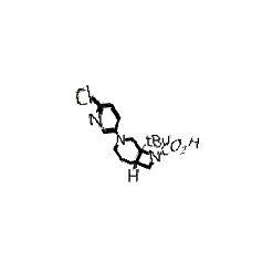 CC(C)(C)[C@@]12CN(c3ccc(Cl)nc3)CC[C@H]1CN2C(=O)O